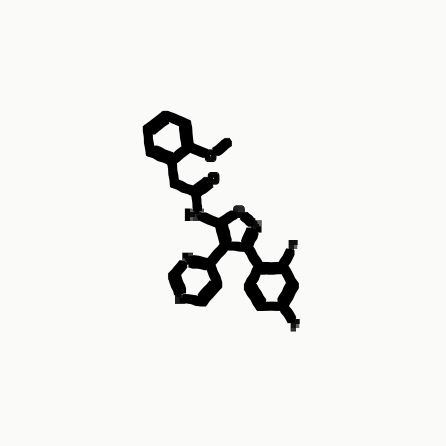 COc1ccccc1CC(=O)Nc1onc(-c2ccc(F)cc2F)c1-c1ccncn1